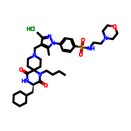 CCCCN1C(=O)[C@H](CC2CCCCC2)NC(=O)C12CCN(Cc1c(C)nn(-c3ccc(S(=O)(=O)NCCN4CCOCC4)cc3)c1C)CC2.Cl